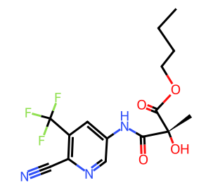 CCCCOC(=O)[C@](C)(O)C(=O)Nc1cnc(C#N)c(C(F)(F)F)c1